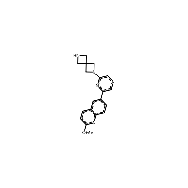 COc1ccc2cc(-c3cncc(N4CC5(CNC5)C4)n3)ccc2n1